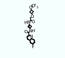 O=C(COC1CC(OC(F)(F)F)C1)NC12CC(NC(=O)c3ccc4cc(F)ccc4n3)(C1)C2